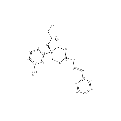 CCCC[C@]1(c2cccc(O)c2)CCN(C/C=C/c2ccccc2)C[C@H]1O